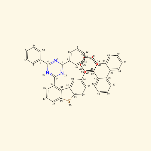 c1ccc(-c2nc(-c3ccccc3)nc(-c3cccc4sc5ccc(-c6cccc(-c7ccccc7-c7ccccc7-c7ccccc7)c6)cc5c34)n2)cc1